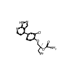 CC(C)C[C@@](C)(COc1ccc(-c2ccnc3[nH]ncc23)cc1Cl)OC(N)=O